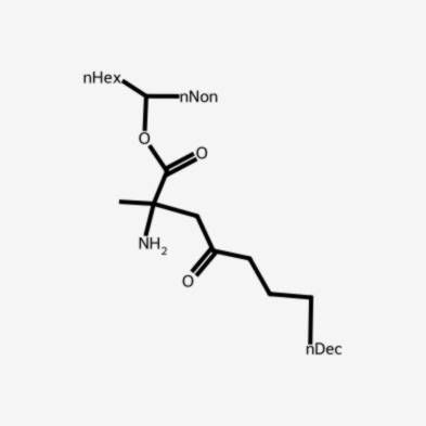 CCCCCCCCCCCCCC(=O)CC(C)(N)C(=O)OC(CCCCCC)CCCCCCCCC